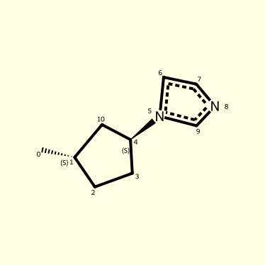 C[C@H]1CC[C@H](n2ccnc2)C1